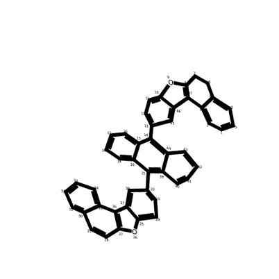 c1ccc2c(c1)CCc1oc3ccc(-c4c5ccccc5c(-c5ccc6oc7ccc8ccccc8c7c6c5)c5ccccc45)cc3c1-2